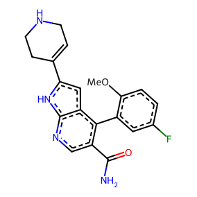 COc1ccc(F)cc1-c1c(C(N)=O)cnc2[nH]c(C3=CCNCC3)cc12